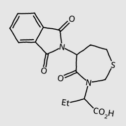 CCC(C(=O)O)N1CSCCC(N2C(=O)c3ccccc3C2=O)C1=O